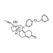 CC#C[C@]1(O)CC[C@H]2[C@@H]3CCC4=CC(=O)CCC4=C3[C@@H](c3ccc(OCc4ccccc4)cc3)C[C@@]21C